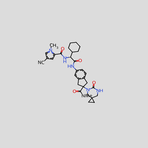 CNC(=O)C1(N2CC3(CC3)CNC2=O)Cc2ccc(NC(=O)[C@@H](NC(=O)c3cc(C#N)cn3C)C3CCCCC3)cc2C1